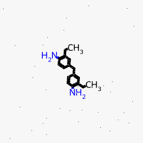 CCc1cc(Cc2ccc(N)c(CC)c2)ccc1N